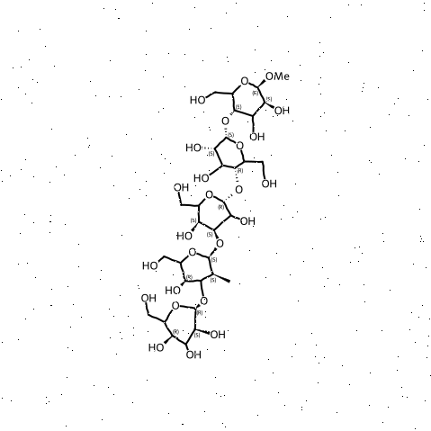 CO[C@@H]1OC(CO)[C@@H](O[C@@H]2OC(CO)[C@H](O[C@H]3OC(CO)[C@H](O)[C@H](O[C@@H]4OC(CO)[C@H](O)C(O[C@@H]5OC(CO)[C@H](O)C(O)[C@@H]5O)[C@@H]4C)C3O)C(O)[C@@H]2O)C(O)[C@@H]1O